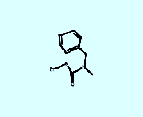 CCSC(=O)N(C)Cc1ccccc1